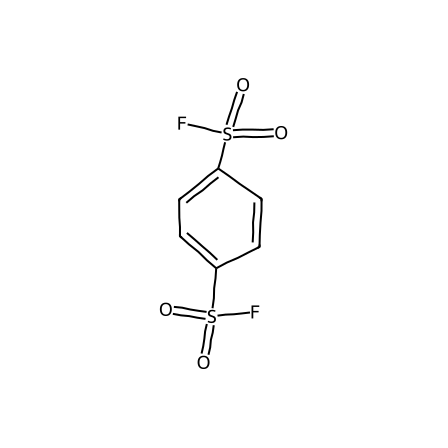 O=S(=O)(F)c1ccc(S(=O)(=O)F)cc1